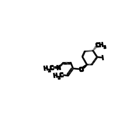 C=N/C=C\C(=C/C)O[C@H]1CC[C@H](C)C(I)C1